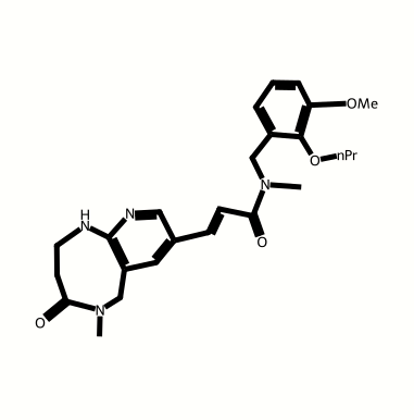 CCCOc1c(CN(C)C(=O)/C=C/c2cnc3c(c2)CN(C)C(=O)CCN3)cccc1OC